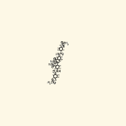 CS(=O)(=O)Cc1ccc(C(=O)Nc2ccc(/C=C/c3ccc(NC(=O)c4ccc(CS(C)(=O)=O)cc4)cc3S(=O)(=O)O)c(S(=O)(=O)O)c2)cc1